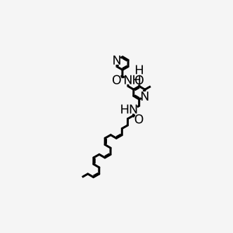 CC/C=C\C/C=C\C/C=C\C/C=C\C/C=C\CCCC(=O)NCc1cc(CNC(=O)c2cccnc2)c(O)c(C)n1